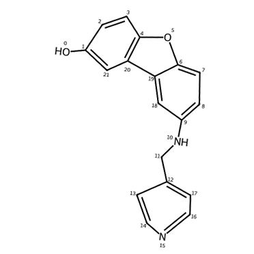 Oc1ccc2oc3ccc(NCc4ccncc4)cc3c2c1